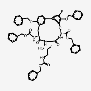 O=C(NC[C@H](O)C[C@@H]1NC(=O)[C@@H](NC(=O)OCc2ccccc2)Cc2cc(ccc2OCc2ccccc2)-c2cc(F)c(OCc3ccccc3)c(c2)C[C@@H](C(=O)OCc2ccccc2)NC1=O)OCc1ccccc1